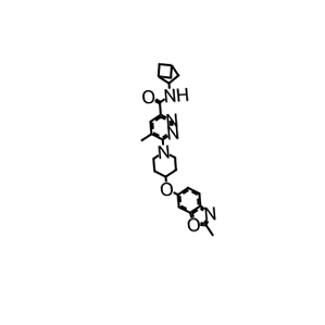 Cc1nc2ccc(OC3CCN(c4nnc(C(=O)NC5CC6CC5C6)cc4C)CC3)cc2o1